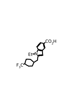 CCn1c(CC2CCC(C(F)(F)F)CC2)cc2cc(C(=O)O)ccc21